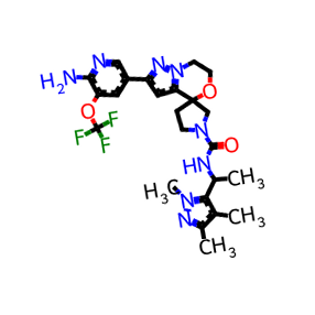 Cc1nn(C)c(C(C)NC(=O)N2CCC3(C2)OCCn2nc(-c4cnc(N)c(OC(F)(F)F)c4)cc23)c1C